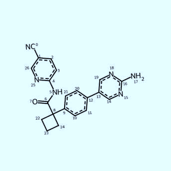 N#Cc1ccc(NC(=O)C2(c3ccc(-c4cnc(N)nc4)cc3)CCC2)nc1